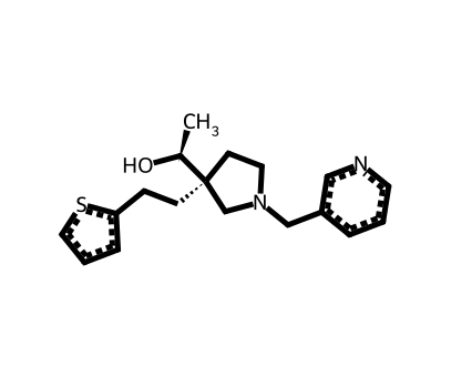 C[C@H](O)[C@@]1(CCc2cccs2)CCN(Cc2cccnc2)C1